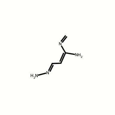 C=N/C(N)=C\C=NN